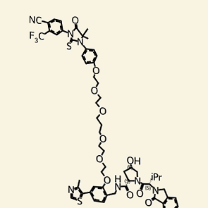 Cc1ncsc1-c1ccc(CNC(=O)[C@@H]2C[C@@H](O)CN2C(=O)[C@H](C(C)C)N2Cc3ccccc3C2=O)c(OCCOCCOCCCOCCOCCOc2ccc(N3C(=S)N(c4ccc(C#N)c(C(F)(F)F)c4)C(=O)C3(C)C)cc2)c1